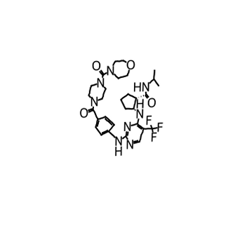 CC(C)NC(=O)[C@H]1CCC[C@H]1Nc1nc(Nc2ccc(C(=O)N3CCN(C(=O)N4CCOCC4)CC3)cc2)ncc1C(F)(F)F